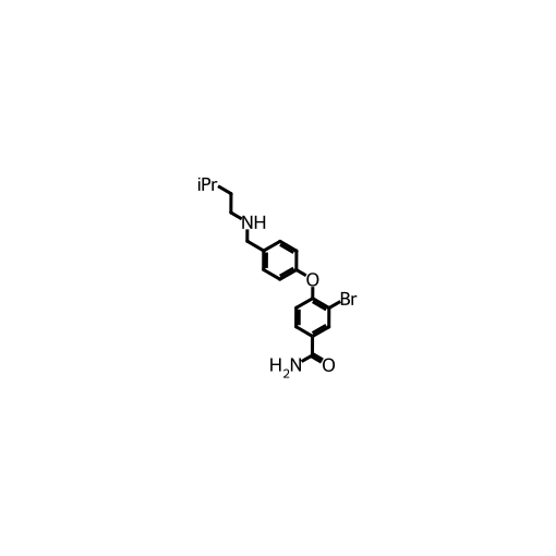 CC(C)CCNCc1ccc(Oc2ccc(C(N)=O)cc2Br)cc1